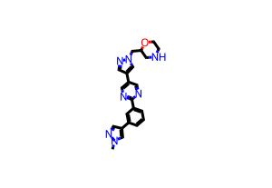 Cn1cc(-c2cccc(-c3ncc(-c4cnn(CC5CNCCO5)c4)cn3)c2)cn1